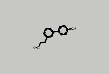 N#Cc1ccc(-c2cccc(CCC=O)c2)cc1